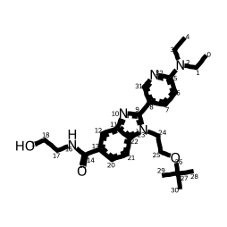 CCN(CC)c1ccc(-c2nc3cc(C(=O)NCCO)ccc3n2CCOC(C)(C)C)cn1